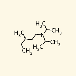 CC[C](C)CCN(C(C)C)C(C)C